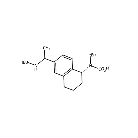 CC(NC(C)(C)C)c1ccc2c(c1)CCC[C@H]2N(C(=O)O)C(C)(C)C